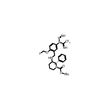 CC(C)(C)OC(=O)N1CCCC(NCc2cc(N(N=N)C(=N)C(F)(F)F)ccc2OCF)[C@@H]1c1ccccc1